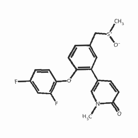 Cn1cc(-c2cc(C[S+](C)[O-])ccc2Oc2ccc(F)cc2F)ccc1=O